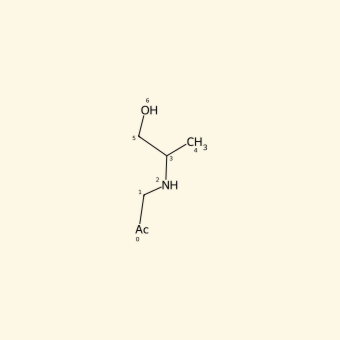 CC(=O)CNC(C)CO